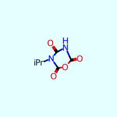 CC(C)n1c(=O)[nH]c(=O)oc1=O